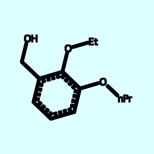 CCCOc1cccc(CO)c1OCC